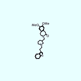 COc1cc2c(cc1OC)CC(=O)N(CC1CCCN(CCc3csc4ccccc34)C1)CC2